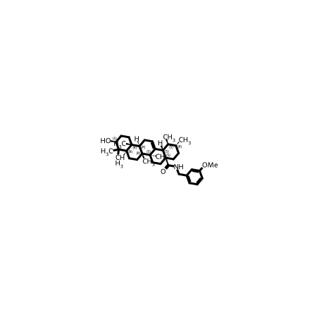 COc1cccc(CNC(=O)[C@]23CC[C@@H](C)[C@H](C)[C@H]2C2=CC[C@@H]4[C@@]5(C)CC[C@H](O)C(C)(C)[C@@H]5CC[C@@]4(C)[C@]2(C)CC3)c1